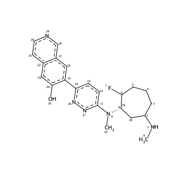 CNC1CCCC(F)[C@@H](N(C)c2ccc(-c3cc4cnccc4cc3O)nn2)C1